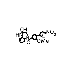 COc1cc(C(=O)N2CC[C@H](C)Nc3ccccc32)ccc1-c1ccc([N+](=O)[O-])cc1